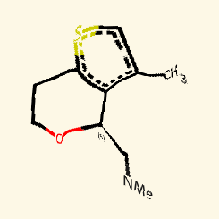 CNC[C@H]1OCCc2scc(C)c21